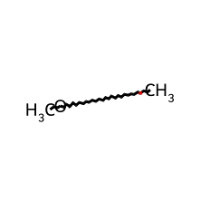 CCCCCCCCCCCCCCCCCCCCCCCCCCC[CH]OCCC